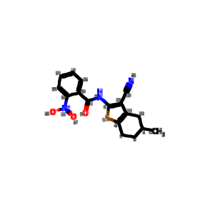 CC1CCc2sc(NC(=O)c3ccccc3[N+](=O)[O-])c(C#N)c2C1